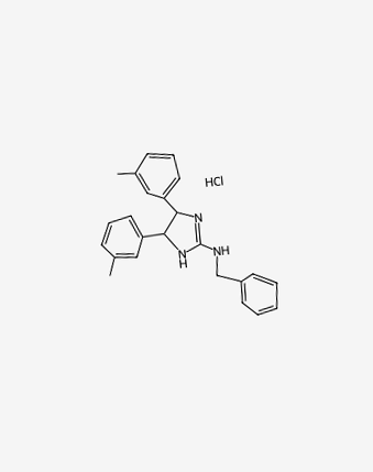 Cc1cccc(C2N=C(NCc3ccccc3)NC2c2cccc(C)c2)c1.Cl